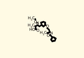 CCON=C(Cc1cccc(OCCc2nc(-c3ccccc3)oc2C)c1)C(C)C(=O)O